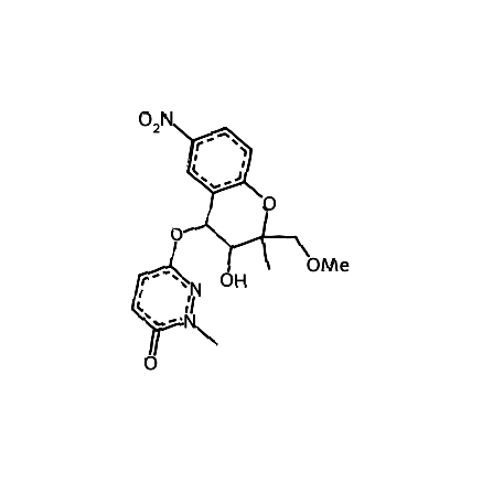 COCC1(C)Oc2ccc([N+](=O)[O-])cc2C(Oc2ccc(=O)n(C)n2)C1O